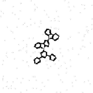 C1=Cc2c(c3ccccc3n2-c2ccc3c(c2)c2ccccc2n3-c2cc(-c3ccccc3)cc(-c3ccccc3)c2)CC1